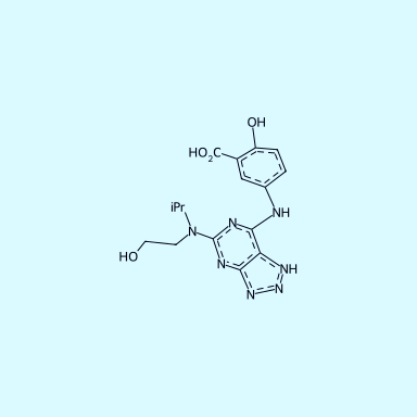 CC(C)N(CCO)c1nc(Nc2ccc(O)c(C(=O)O)c2)c2[nH]nnc2n1